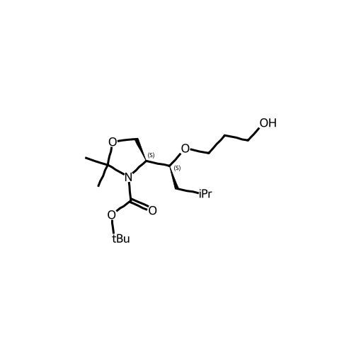 CC(C)C[C@H](OCCCO)[C@@H]1COC(C)(C)N1C(=O)OC(C)(C)C